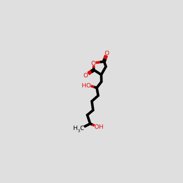 CC(O)CCCCC(O)CC1CC(=O)OC1=O